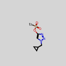 CCS(=O)(=O)Oc1cn(CC2CC2)nn1